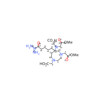 COC(=O)CN1CCN(CC(=O)O)CCC(CCCCC(=O)N(N)N)(N(CC(=O)O)CC(=O)OC)C1